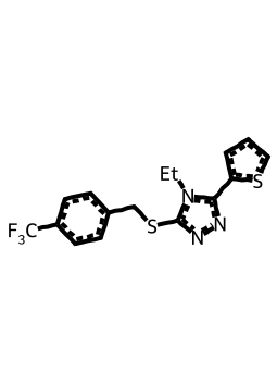 CCn1c(SCc2ccc(C(F)(F)F)cc2)nnc1-c1cccs1